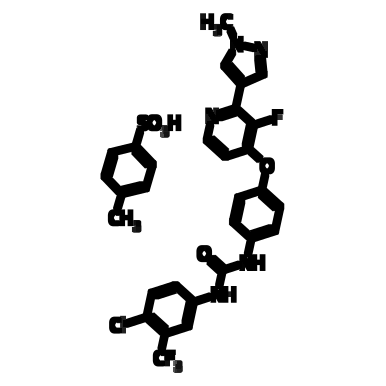 Cc1ccc(S(=O)(=O)O)cc1.Cn1cc(-c2nccc(Oc3ccc(NC(=O)Nc4ccc(Cl)c(C(F)(F)F)c4)cc3)c2F)cn1